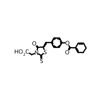 O=C(O)CN1C(=O)/C(=C/c2ccc(OC(=O)C3=CCCC=C3)cc2)SC1=S